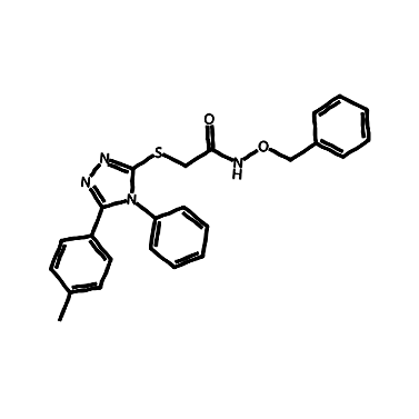 Cc1ccc(-c2nnc(SCC(=O)NOCc3ccccc3)n2-c2ccccc2)cc1